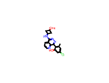 Cc1cc(Cl)cc(O)c1-c1nnc(NC2CC(O)C2)c2cccnc12